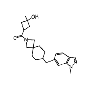 Cn1ncc2ccc(CC3CCC4(CC3)CN(C(=O)C3CC(C)(O)C3)C4)cc21